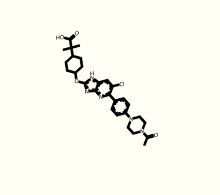 CC(=O)N1CCN(c2ccc(-c3nc4nc(OC5CCC(C(C)(C)C(=O)O)CC5)[nH]c4cc3Cl)cc2)CC1